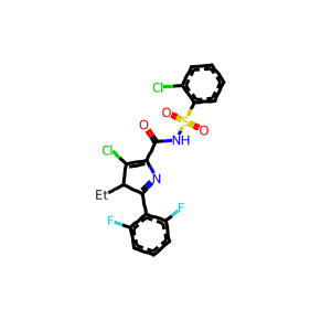 CCC1C(c2c(F)cccc2F)=NC(C(=O)NS(=O)(=O)c2ccccc2Cl)=C1Cl